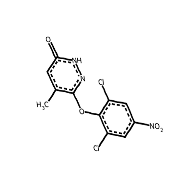 Cc1cc(=O)[nH]nc1Oc1c(Cl)cc([N+](=O)[O-])cc1Cl